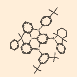 CC(C)(C)c1ccc(N2c3cc(N4c5ccccc5C5(C)CCCCC45C)cc4c3B3c5c2cccc5C(C)(c2ccccc2)c2cccc(c23)N4c2cc(C(C)(C)C)cc(C(C)(C)C)c2)cc1